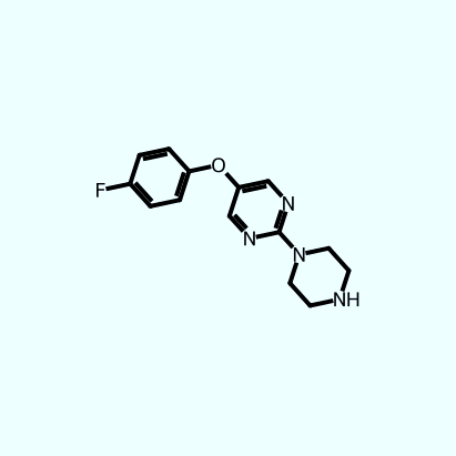 Fc1ccc(Oc2cnc(N3CCNCC3)nc2)cc1